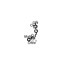 CN[C@@](C(=O)N(C)CCCC1CCN(c2ccc(C(=O)N(C)C)c(Cl)n2)CC1)(c1cccc(OC)c1)C(F)(F)F